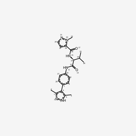 Cc1n[nH]c(C)c1-c1ccc(NC(=O)[C@@H](NC(=O)c2ccnn2C)C(C)C)cc1